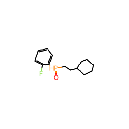 O=[PH](CCC1CCCCC1)c1ccccc1F